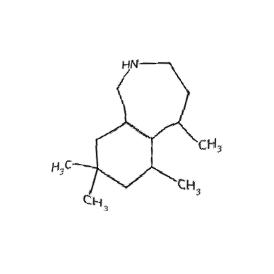 CC1CCNCC2CC(C)(C)CC(C)C12